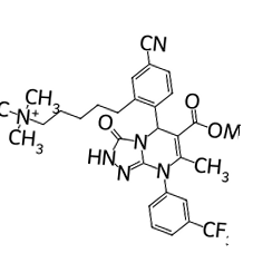 COC(=O)C1=C(C)N(c2cccc(C(F)(F)F)c2)c2n[nH]c(=O)n2C1c1ccc(C#N)cc1CCCCC[N+](C)(C)C